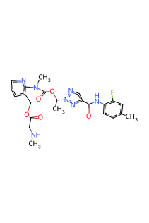 CNCC(=O)OCc1cccnc1N(C)C(=O)OC(C)n1ncc(C(=O)Nc2ccc(C)cc2F)n1